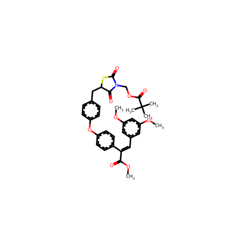 COC(=O)/C(=C/c1cc(OC)cc(OC)c1)c1ccc(Oc2ccc(CC3SC(=O)N(COC(=O)C(C)(C)C)C3=O)cc2)cc1